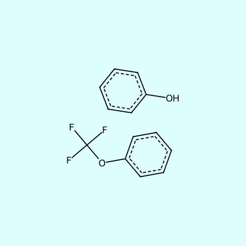 FC(F)(F)Oc1ccccc1.Oc1ccccc1